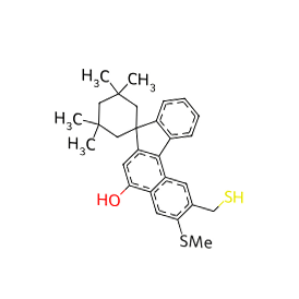 CSc1cc2c(O)cc3c(c2cc1CS)-c1ccccc1C31CC(C)(C)CC(C)(C)C1